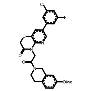 COc1ccc2c(c1)CN(C(=O)CN1C(=O)COc3cc(-c4cc(F)cc(Cl)c4)cnc31)CC2